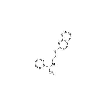 CC(NC/C=C/c1ccc2ccccc2c1)c1ccccc1